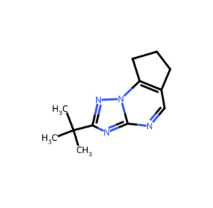 CC(C)(C)c1nc2ncc3c(n2n1)CCC3